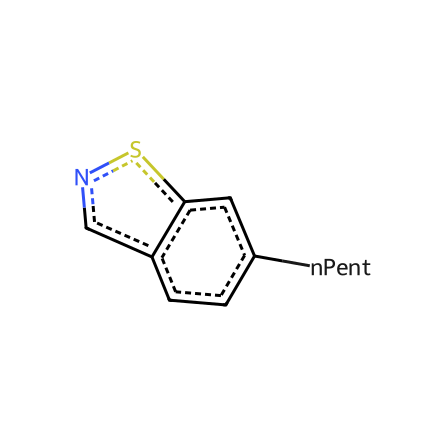 CCCCCc1ccc2cnsc2c1